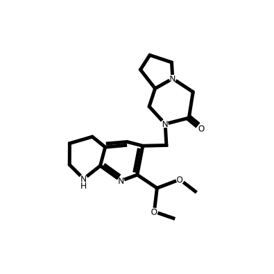 COC(OC)c1nc2c(cc1CN1CC3CCCN3CC1=O)CCCN2